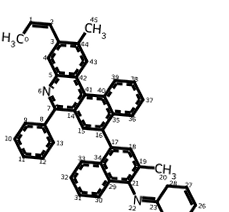 C/C=C\c1cc2nc(-c3ccccc3)c3cc(-c4cc(C)c(/N=C5/C=CC=CC5)c5ccccc45)c4ccccc4c3c2cc1C